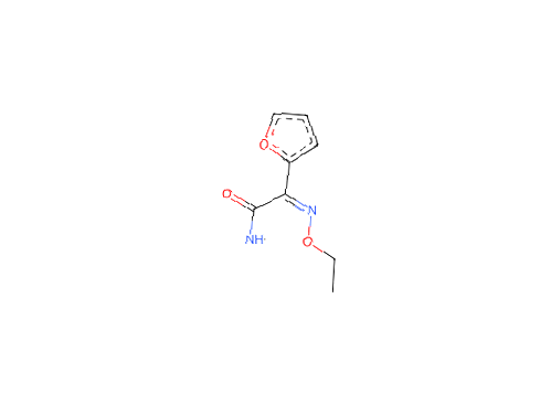 CCON=C(C([NH])=O)c1ccco1